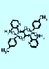 Cc1ccc(S(=O)(=O)N(C(=O)C(=O)N(c2ncccc2N)S(=O)(=O)c2ccc(C)cc2)c2ncccc2N)cc1